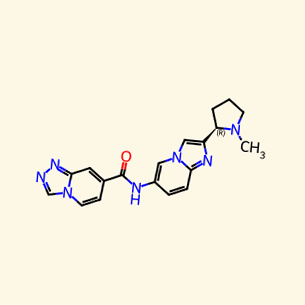 CN1CCC[C@@H]1c1cn2cc(NC(=O)c3ccn4cnnc4c3)ccc2n1